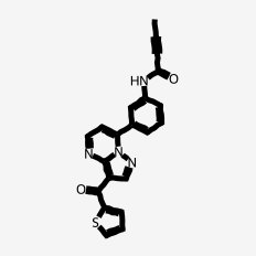 CC#CC(=O)Nc1cccc(-c2ccnc3c(C(=O)c4cccs4)cnn23)c1